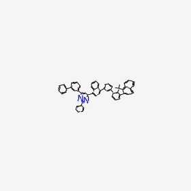 CC1(C)c2c(-c3cccc(-c4ccc(-c5cc(-c6cccc(-c7ccccc7)c6)nc(-c6ccccc6)n5)c5ccccc45)c3)cccc2-c2ccc3ccccc3c21